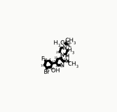 CNc1ncc(-c2cc(F)cc(Br)c2O)cc1N1CCN(C(C)(C)C)CC1